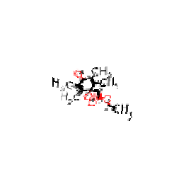 CCOC(=O)CC1(O)C(C)=C(C)C(=O)C(C)=C1C